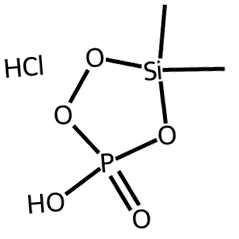 C[Si]1(C)OOP(=O)(O)O1.Cl